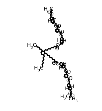 C=CC(=O)OCC1C[C@@H]2C3CC(COC(=O)c4cccc(C(=O)OCC5C[C@@H]6C7CC(COC(=O)CCCCCCCC8C(CCCCCC)CCC(CCCCCCCC)C8CCCCCCCC(=O)COC8CC9CC8[C@H]8CC(COC(=O)c%10cccc(C(=O)OCC%11CC%12CC%11[C@H]%11CC(COC(=O)C(=C)C)C[C@@H]%12%11)c%10)C[C@@H]98)C(C7)[C@@H]6C5)c4)C(C3)[C@@H]2C1